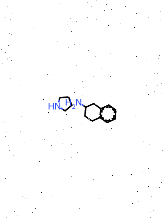 C1CCNC1.NC1CCc2ccccc2C1